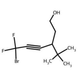 CC(C)(C)C(C#CC(F)(F)Br)CCO